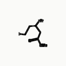 CCCC(CCI)CC(=O)OC